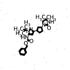 CC1(C)CN([C@@H]2CC[C@@H](c3cc(NC(=O)OCc4ccccc4)n(C(C)(C)C)n3)C2)C(=O)N1